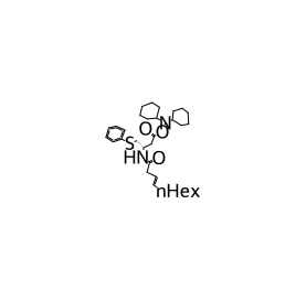 CCCCCC/C=C/CC(=O)N[C@H](CSc1ccccc1)CC(=O)ON(C1CCCCC1)C1CCCCC1